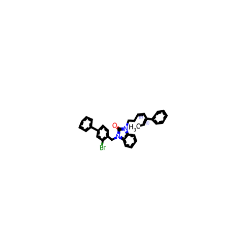 C/C=C(\C=C/CCn1c(=O)n(Cc2ccc(-c3ccccc3)cc2Br)c2ccccc21)c1ccccc1